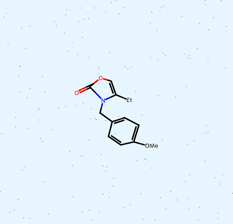 CCc1coc(=O)n1Cc1ccc(OC)cc1